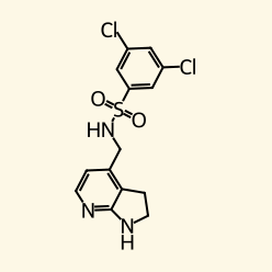 O=S(=O)(NCc1ccnc2c1CCN2)c1cc(Cl)cc(Cl)c1